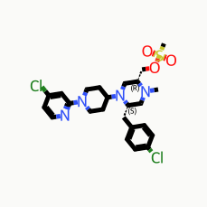 CN1C[C@H](Cc2ccc(Cl)cc2)N(C2CCN(c3cc(Cl)ccn3)CC2)C[C@@H]1COS(C)(=O)=O